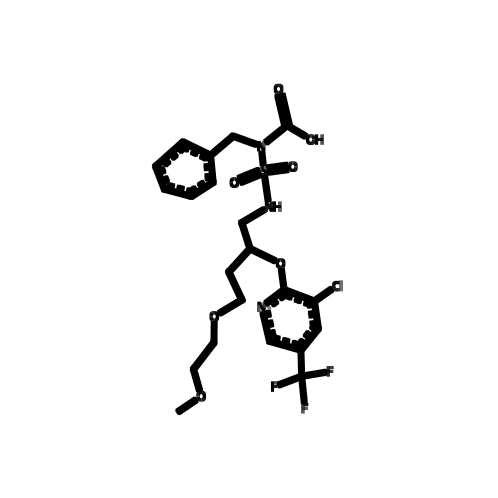 COCCOCCC(CNS(=O)(=O)N(Cc1ccccc1)C(=O)O)Oc1ncc(C(F)(F)F)cc1Cl